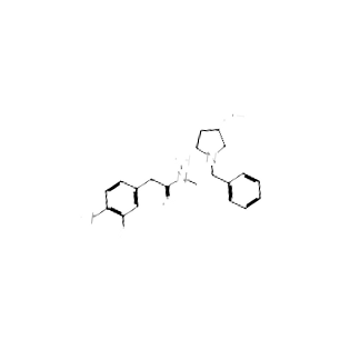 O=C(Cc1ccc(Cl)c(Cl)c1)N(O)C[C@@H](c1ccccc1)N1CC[C@H](O)C1